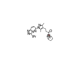 Cc1nn(-c2ccc3nnc(C(C)C)n3n2)c(C)c1CCC(=O)N1CC2CCC1[C@@H]2C